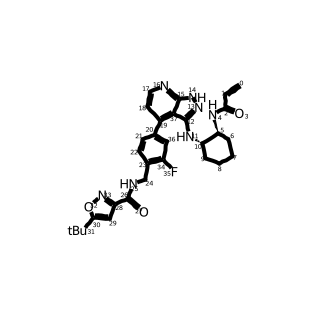 C=CC(=O)N[C@H]1CCCC[C@@H]1Nc1n[nH]c2nccc(-c3ccc(CNC(=O)c4cc(C(C)(C)C)on4)c(F)c3)c12